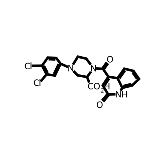 O=C(O)C1CN(c2ccc(Cl)c(Cl)c2)CCN1C(=O)c1cc(=O)[nH]c2ccccc12